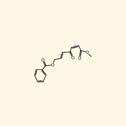 COC(=O)/C=C\C(=O)/C=C/COC(=O)c1ccccc1